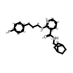 O=C(NCC1C2CCC1CC2)c1cccnc1SCCCc1ccc(F)cc1